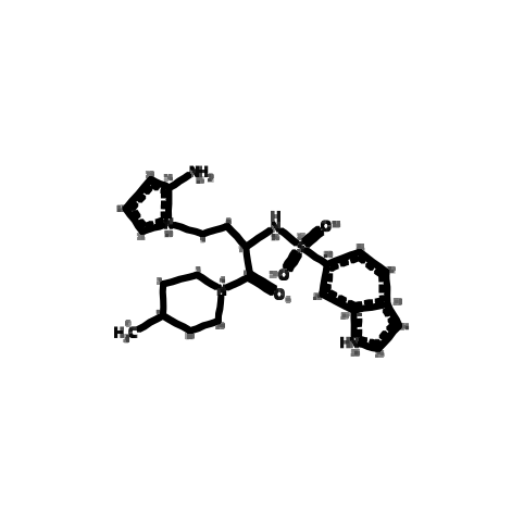 CC1CCN(C(=O)C(CCn2cccc2N)NS(=O)(=O)c2ccc3cc[nH]c3c2)CC1